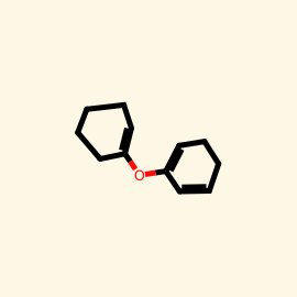 C1=CC(OC2=CCCCC2)=CCC1